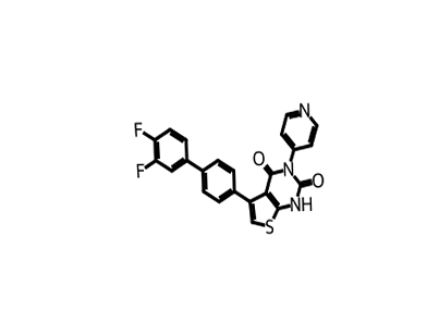 O=c1[nH]c2scc(-c3ccc(-c4ccc(F)c(F)c4)cc3)c2c(=O)n1-c1ccncc1